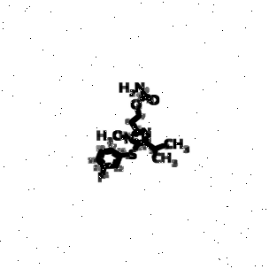 CC(C)c1nc(CCOC(N)=O)n(C)c1Sc1cccc(F)c1